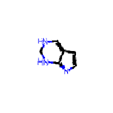 C1=CC2=CNCNC2=N1